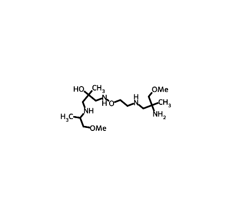 COCC(C)NCC(C)(O)CNOCCNCC(C)(N)COC